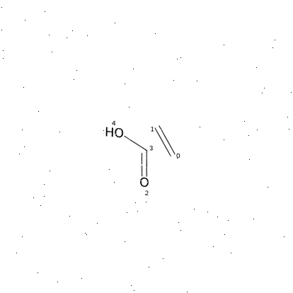 C=C.O=CO